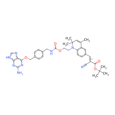 CC1=CC(C)(C)N(CCOC(=O)NCc2ccc(COc3nc(N)nc4[nH]cnc34)cc2)c2ccc(/C=C(\C#N)C(=O)OC(C)(C)C)cc21